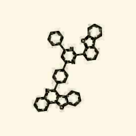 c1ccc(-c2cc(-c3ccc(-c4nc5ccccc5c5oc6ccccc6c45)cc3)nc(-c3cccc4c3oc3ccccc34)n2)cc1